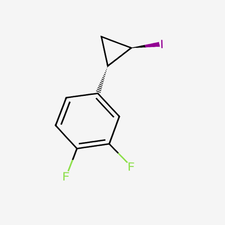 Fc1ccc([C@@H]2C[C@H]2I)cc1F